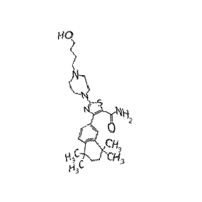 CC1(C)CCC(C)(C)c2cc(-c3nc(N4CCN(CCCCO)CC4)sc3C(N)=O)ccc21